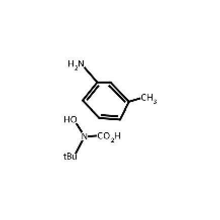 CC(C)(C)N(O)C(=O)O.Cc1cccc(N)c1